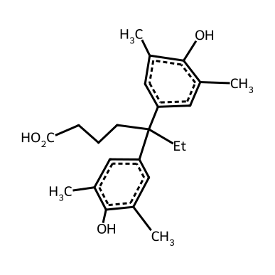 CCC(CCCC(=O)O)(c1cc(C)c(O)c(C)c1)c1cc(C)c(O)c(C)c1